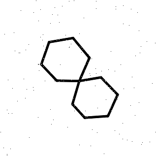 [CH]1CCCC2(C1)CCCCC2